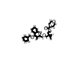 Cc1c(COCC2(COC(=O)N3CCOCC3)CC2)nc2ccccc2c1OCc1ccccc1